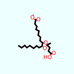 CCCCCCCCC1OC(C)(CCC(=O)O)OC1CCCCCCCC(=O)OC